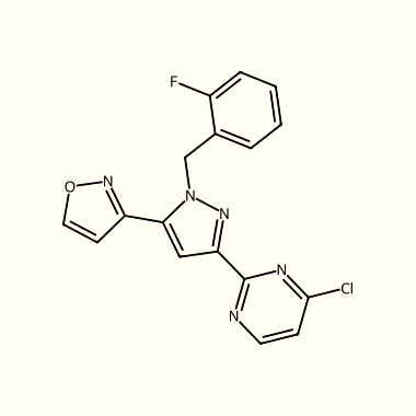 Fc1ccccc1Cn1nc(-c2nccc(Cl)n2)cc1-c1ccon1